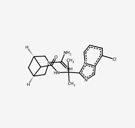 CC(C)(NC(=O)C1[C@@H]2C[C@H]1CN(C(=N)N)C2)c1ncc2c(Cl)cccn12